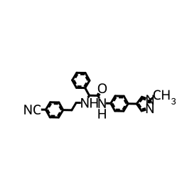 Cn1cc(-c2ccc(NC(=O)C(NCCc3ccc(C#N)cc3)c3ccccc3)cc2)cn1